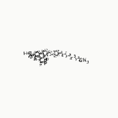 CCCCCCCCCC[C@H]1CC[C@H](CCc2ccc(-c3ccc(C(=O)O)c(F)c3-c3cc(F)c(F)c(F)c3)cc2)CC1